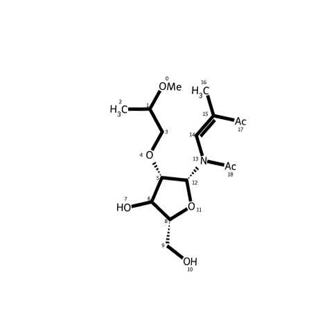 COC(C)CO[C@H]1C(O)[C@@H](CO)O[C@H]1N(/C=C(/C)C(C)=O)C(C)=O